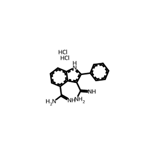 Cl.Cl.N=C(N)c1cccc2[nH]c(-c3ccccc3)c(C(=N)N)c12